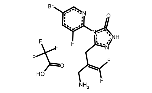 NCC(Cc1n[nH]c(=O)n1-c1ncc(Br)cc1F)=C(F)F.O=C(O)C(F)(F)F